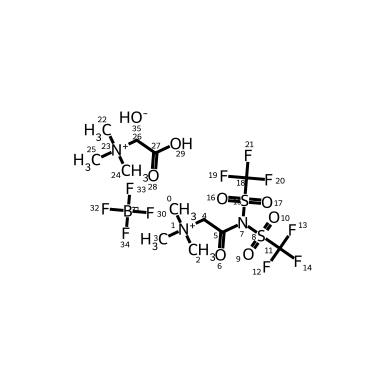 C[N+](C)(C)CC(=O)N(S(=O)(=O)C(F)(F)F)S(=O)(=O)C(F)(F)F.C[N+](C)(C)CC(=O)O.F[B-](F)(F)F.[OH-]